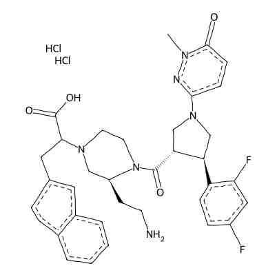 Cl.Cl.Cn1nc(N2C[C@@H](C(=O)N3CCN(C(Cc4ccc5ccccc5c4)C(=O)O)C[C@@H]3CCN)[C@H](c3ccc(F)cc3F)C2)ccc1=O